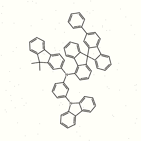 CC1(C)c2ccccc2-c2ccc(N(c3cccc(-n4c5ccccc5c5ccccc54)c3)c3cccc4c3-c3ccccc3C43c4ccccc4-c4ccc(-c5ccccc5)cc43)cc21